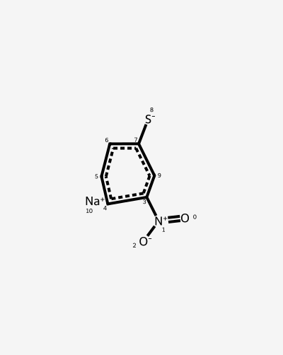 O=[N+]([O-])c1cccc([S-])c1.[Na+]